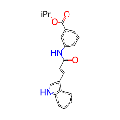 CC(C)OC(=O)c1cccc(NC(=O)C=Cc2c[nH]c3ccccc23)c1